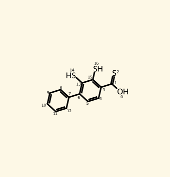 OC(=S)c1ccc(-c2ccccc2)c(S)c1S